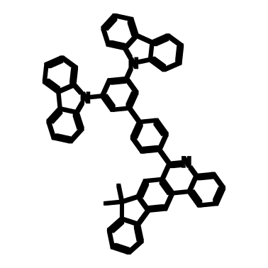 CC1(C)c2ccccc2-c2cc3c(cc21)c(-c1ccc(-c2cc(-n4c5ccccc5c5ccccc54)cc(-n4c5ccccc5c5ccccc54)c2)cc1)nc1ccccc13